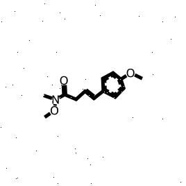 COc1ccc(C=CCC(=O)N(C)OC)cc1